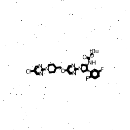 CC(C)(C)OC(=O)N[C@H]1CN(c2ncc(OCC3CCN(c4ncc(Cl)cn4)CC3)cn2)C[C@@H]1c1cc(F)ccc1F